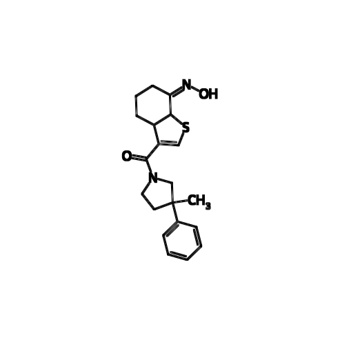 CC1(c2ccccc2)CCN(C(=O)C2=CSC3/C(=N\O)CCCC23)C1